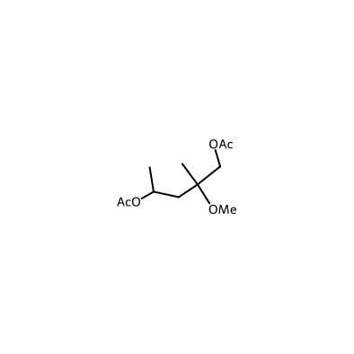 COC(C)(COC(C)=O)CC(C)OC(C)=O